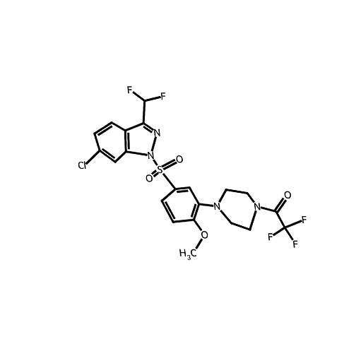 COc1ccc(S(=O)(=O)n2nc(C(F)F)c3ccc(Cl)cc32)cc1N1CCN(C(=O)C(F)(F)F)CC1